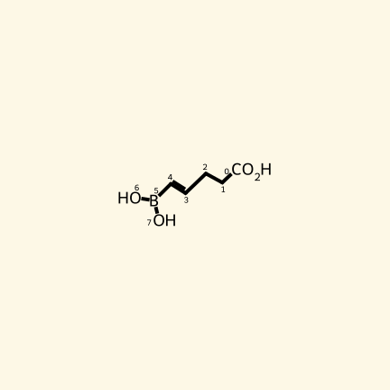 O=C(O)CCC=CB(O)O